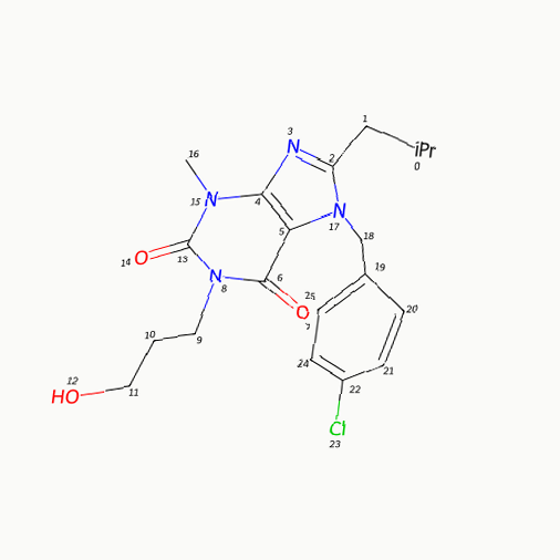 CC(C)Cc1nc2c(c(=O)n(CCCO)c(=O)n2C)n1Cc1ccc(Cl)cc1